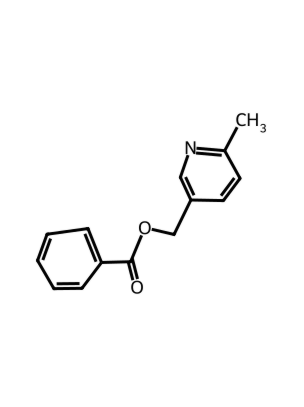 Cc1ccc(COC(=O)c2ccccc2)cn1